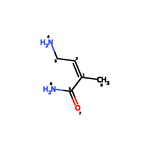 CC(=CCN)C(N)=O